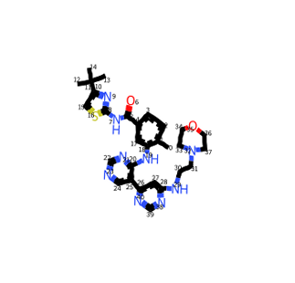 Cc1ccc(C(=O)Nc2nc(C(C)(C)C)cs2)cc1Nc1ncncc1-c1cc(NCCN2CCOCC2)ncn1